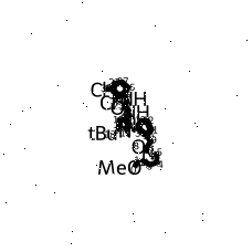 COC[C@@H]1CCCN1C(=O)Cc1cccc(-n2nc(C(C)(C)C)cc2NC(=O)Nc2cccc(Cl)c2Cl)c1